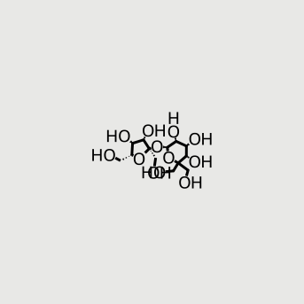 OC[C@H]1O[C@](CO)(O[C@@H]2OC(CO)(CO)[C@@H](O)[C@H](O)[C@H]2O)[C@@H](O)[C@@H]1O